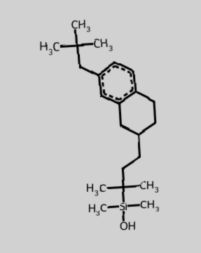 CC(C)(C)Cc1ccc2c(c1)CC(CCC(C)(C)[Si](C)(C)O)CC2